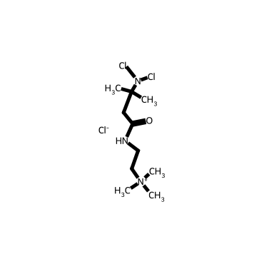 CC(C)(CC(=O)NCC[N+](C)(C)C)N(Cl)Cl.[Cl-]